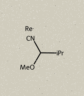 [C-]#[N+]C(OC)C(C)C.[Re]